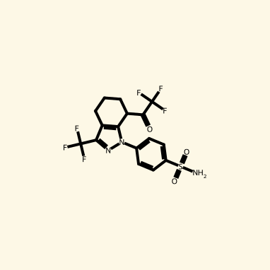 NS(=O)(=O)c1ccc(-n2nc(C(F)(F)F)c3c2C(C(=O)C(F)(F)F)CCC3)cc1